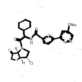 COc1cnnc(-c2ccc(C(=O)NC(C(=O)N3C[C@H](Cl)[C@H]4OCC(=O)[C@H]43)C3CCCCC3)s2)c1